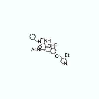 CCc1cnccc1COc1cc(F)cc(C[C@H](NC(C)=O)[C@H](O)[C@@H]2NCCN(Cc3ccccc3)C2=O)c1